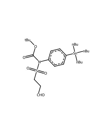 CCC[CH2][Sn]([CH2]CCC)([CH2]CCC)[c]1ccc(N(C(=O)OC(C)(C)C)S(=O)(=O)CCC=O)cc1